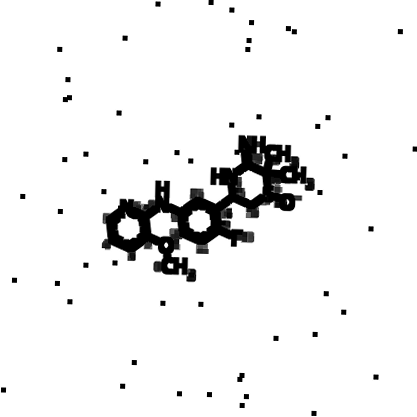 COc1cccnc1Nc1ccc(F)c(C2C[S+]([O-])C(C)(C)C(=N)N2)c1